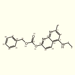 CCNc1cc(C)nc2nc(OC(=O)OCc3ccccc3)ccc12